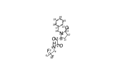 CC(F)(F)CNC(=O)C(=O)[C@H]1CCC(=O)N1Cc1ccccc1